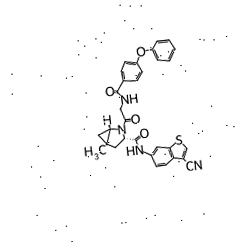 C[C@@]12C[C@@H]1N(C(=O)CNC(=O)c1ccc(Oc3ccccc3)cc1)[C@H](C(=O)Nc1ccc3c(C#N)csc3c1)C2